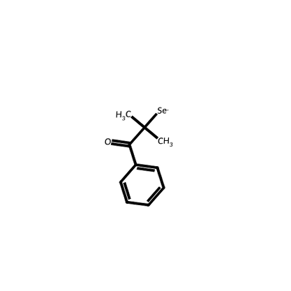 CC(C)([Se])C(=O)c1ccccc1